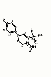 CNN1CCC(c2ccc(C)cc2)C=C1C(F)(F)F